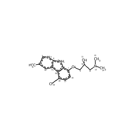 Cc1cnc2[nH]c3c(OC[C@@H](O)CN(C)C)ccc(Cl)c3c2c1